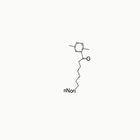 CCCCCCCCCCCCCCCC(=O)c1cc(C)ccc1C